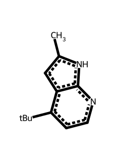 Cc1cc2c(C(C)(C)C)ccnc2[nH]1